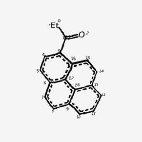 C[CH]C(=O)c1ccc2ccc3cccc4ccc1c2c34